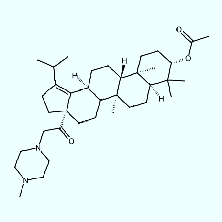 CC(=O)O[C@H]1CC[C@@]2(C)[C@H](CC[C@@]3(C)C4CC[C@@]5(C(=O)CN6CCN(C)CC6)CCC(C(C)C)=C5[C@H]4CC[C@H]23)C1(C)C